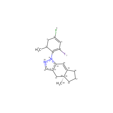 CC1CC(F)=CC(I)=C1n1ncc2c1C=C1CCC[C@@]1(C)C2